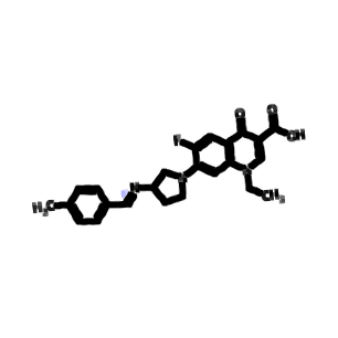 CCn1cc(C(=O)O)c(=O)c2cc(F)c(N3CCC(/N=C/c4ccc(C)cc4)C3)cc21